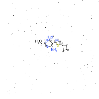 CCc1nc(N)c(-c2ncc(C3CCC3)s2)c(N)n1